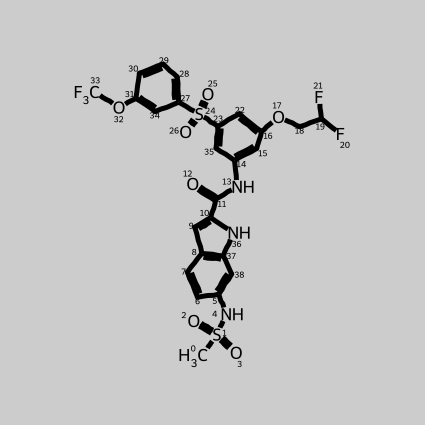 CS(=O)(=O)Nc1ccc2cc(C(=O)Nc3cc(OCC(F)F)cc(S(=O)(=O)c4cccc(OC(F)(F)F)c4)c3)[nH]c2c1